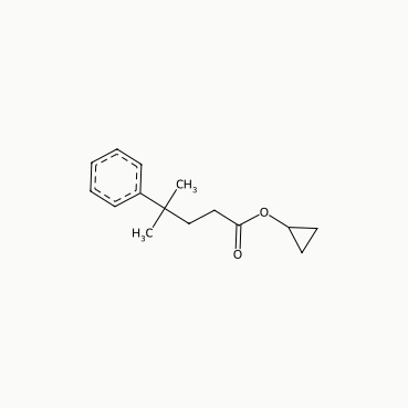 CC(C)(CCC(=O)OC1CC1)c1ccccc1